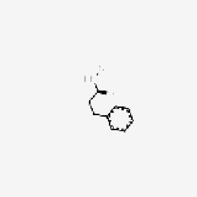 C[C@@H](Cc1ccccc1)C(=O)NN